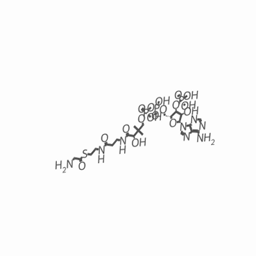 CC(C)(COP(=O)(O)OP(=O)(O)OC[C@H]1O[C@@H](n2cnc3c(N)ncnc32)[C@H](O)[C@@H]1OP(=O)(O)O)[C@@H](O)C(=O)NCCC(=O)NCCSC(=O)CN